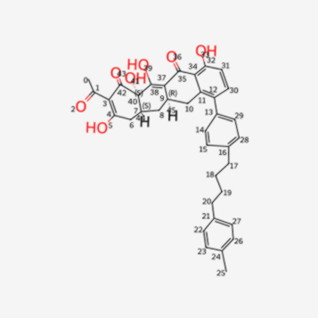 CC(=O)C1=C(O)C[C@@H]2C[C@@H]3Cc4c(-c5ccc(CCCCc6ccc(C)cc6)cc5)ccc(O)c4C(=O)C3=C(O)[C@]2(O)C1=O